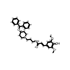 COc1cc(C=CC(=O)NCCCN2CCC(OC(c3ccccc3)c3ccccc3)CC2)cc(OC)c1O